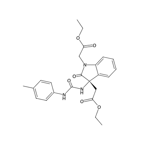 CCOC(=O)CN1C(=O)[C@@](CC(=O)OCC)(NC(=O)Nc2ccc(C)cc2)c2ccccc21